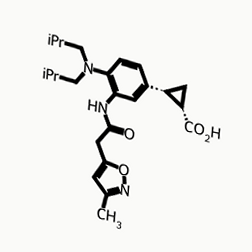 Cc1cc(CC(=O)Nc2cc([C@@H]3C[C@@H]3C(=O)O)ccc2N(CC(C)C)CC(C)C)on1